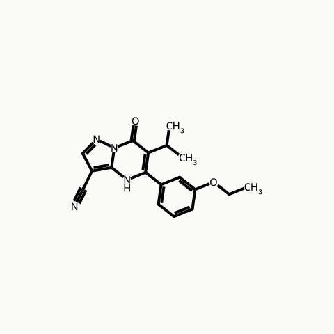 CCOc1cccc(-c2[nH]c3c(C#N)cnn3c(=O)c2C(C)C)c1